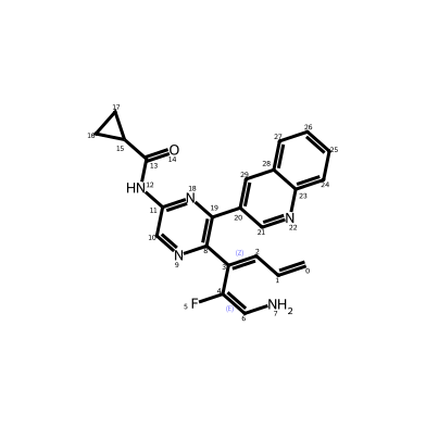 C=C/C=C(\C(F)=C/N)c1ncc(NC(=O)C2CC2)nc1-c1cnc2ccccc2c1